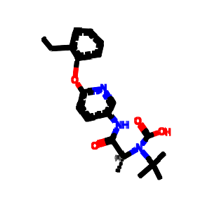 CCc1ccccc1Oc1ccc(NC(=O)[C@@H](C)N(C(=O)O)C(C)(C)C)cn1